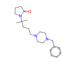 CC(C)(CCCN1CCN(Cc2ccccc2)CC1)N1CCCC1=O